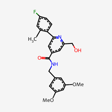 COc1cc(CNC(=O)c2cc(CO)nc(-c3ccc(F)cc3C)c2)cc(OC)c1